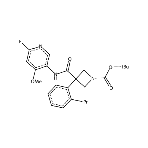 COc1cc(F)ncc1NC(=O)C1(c2ccccc2C(C)C)CN(C(=O)OC(C)(C)C)C1